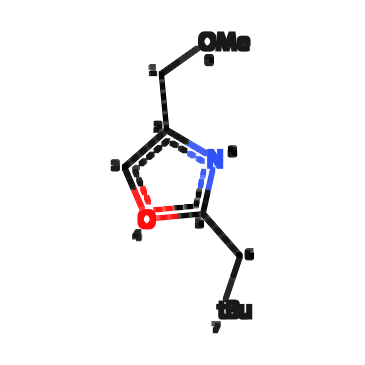 COCc1coc(CC(C)(C)C)n1